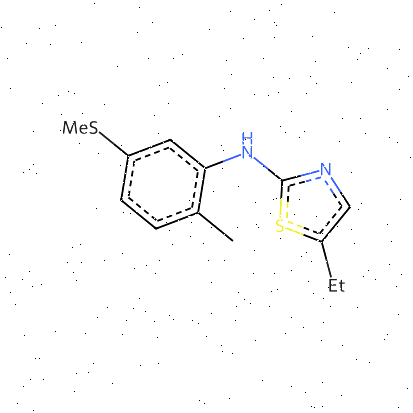 CCc1cnc(Nc2cc(SC)ccc2C)s1